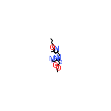 CCCCOc1ncc(Cn2cc(CC(=O)OCC)c(/C=C\N)n2)cc1C